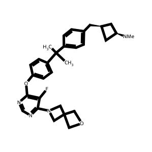 CN[C@H]1C[C@@H](Cc2ccc(C(C)(C)c3ccc(Oc4ncnc(N5CC6(COC6)C5)c4F)cc3)cc2)C1